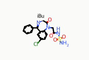 CC[C@H](C)[C@@H]1N=C(c2ccccc2)c2cc(Cl)ccc2N(CC(=O)NS(N)(=O)=O)C1=O